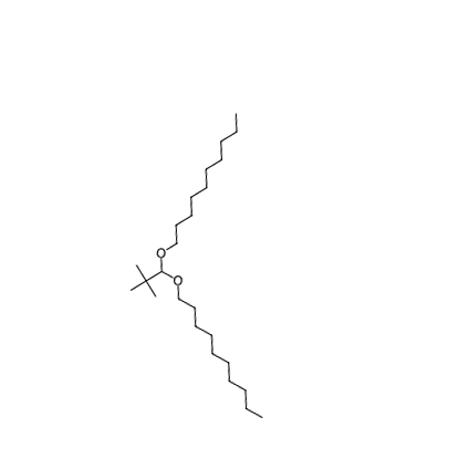 CCCCCCCCCCOC(OCCCCCCCCCC)C(C)(C)C